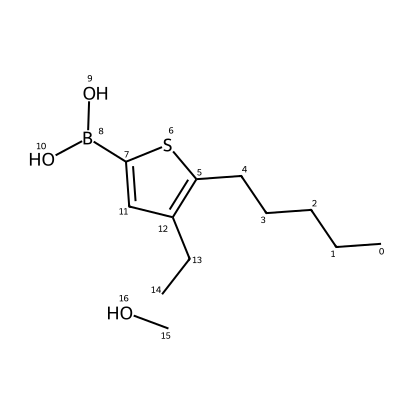 CCCCCc1sc(B(O)O)cc1CC.CO